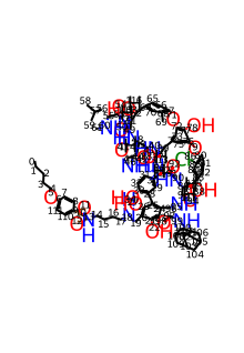 CCCCCOc1ccc(S(=O)(=O)NCCCCNCc2c(O)cc3c(c2O)-c2cc(ccc2O)[C@H]2NC(=O)[C@@H]4NC(=O)[C@H](CC(N)=O)NC(=O)[C@H](NC(=O)[C@@H](CC(C)C)NC)[C@H](O)c5ccc(c(C)c5)Oc5cc4cc(c5O)Oc4ccc(cc4Cl)[C@@H](O)[C@H](NC2=O)C(=O)N[C@@H]3C(=O)NC2C3CC4CC(C3)CC2C4)cc1